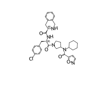 O=C(N[C@H](Cc1ccc(Cl)cc1)C(=O)N1CCC(N(C(=O)c2ccno2)C2CCCCC2)C1)[C@H]1Cc2ccccc2CN1